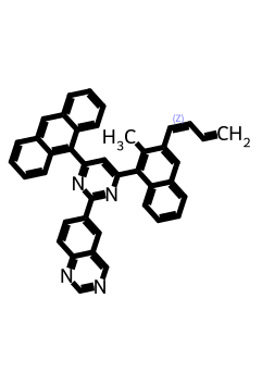 C=C/C=C\c1cc2ccccc2c(-c2cc(-c3c4ccccc4cc4ccccc34)nc(-c3ccc4ncncc4c3)n2)c1C